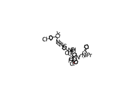 CC(C)N(C)C(CCN(c1ccccc1)c1ccc(S(=O)(=O)NC(=O)c2ccc(N3CCN(CC4=C(c5ccc(Cl)cc5)CC(C)(C)CC4)CC3)cc2)cc1S(=O)(=O)C(F)(F)Cl)CSc1ccccc1